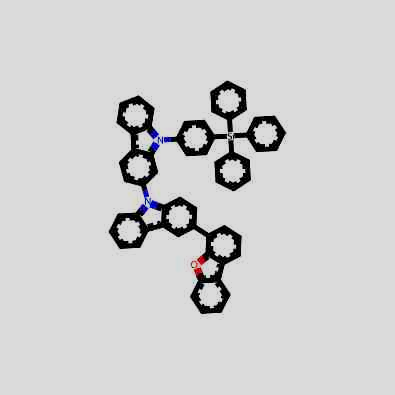 c1ccc([Si](c2ccccc2)(c2ccccc2)c2ccc(-n3c4ccccc4c4ccc(-n5c6ccccc6c6cc(-c7cccc8c7oc7ccccc78)ccc65)cc43)cc2)cc1